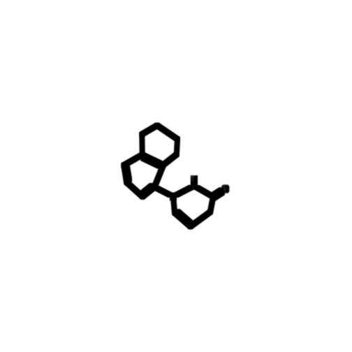 O=C1CC=CN(c2cccc3c2CCCC3)N1